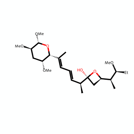 CC[C@H](OC)[C@@H](C)[C@H]1C[C@@](O)([C@@H](C)/C=C/C=C(\C)[C@H]2O[C@@H](OC)[C@H](OC)C[C@H]2OC)O1